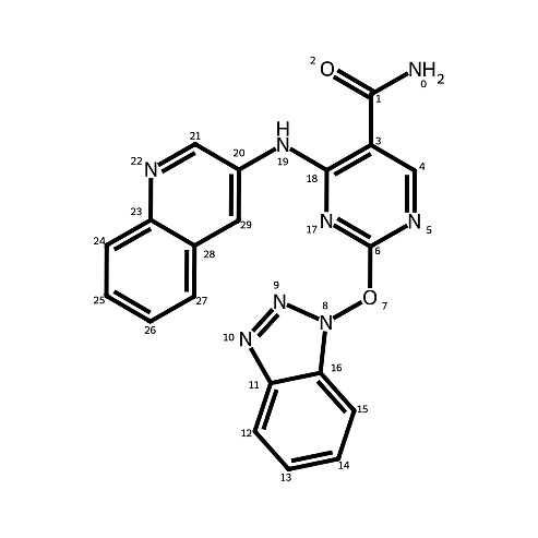 NC(=O)c1cnc(On2nnc3ccccc32)nc1Nc1cnc2ccccc2c1